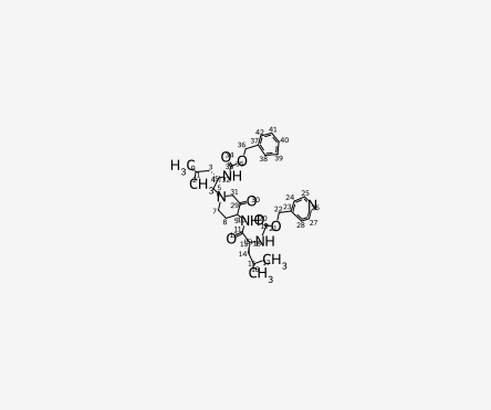 CC(C)C[C@@H](CN1CCC(NC(=O)[C@H](CC(C)C)NC(=O)OCc2ccncc2)C(=O)C1)NC(=O)OCc1ccccc1